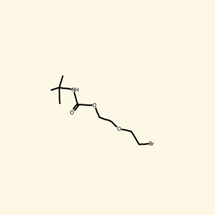 CC(C)(C)NC(=O)OCCOCCBr